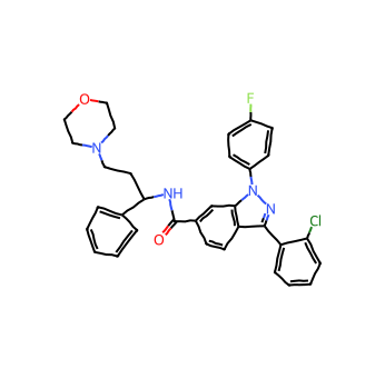 O=C(NC(CCN1CCOCC1)c1ccccc1)c1ccc2c(-c3ccccc3Cl)nn(-c3ccc(F)cc3)c2c1